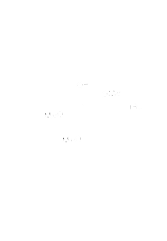 COC(CC(C)(C)C)C(O)(OC)OC